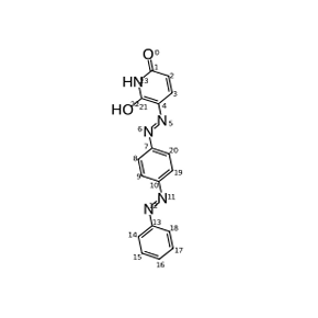 O=c1ccc(N=Nc2ccc(N=Nc3ccccc3)cc2)c(O)[nH]1